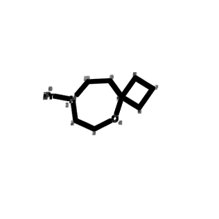 CC(C)N1CCOC2(CCC2)CC1